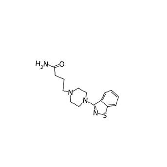 NC(=O)CCCN1CCN(c2nsc3ccccc23)CC1